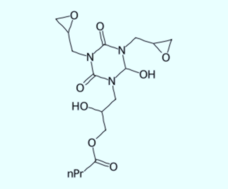 CCCC(=O)OCC(O)CN1C(=O)N(CC2CO2)C(=O)N(CC2CO2)C1O